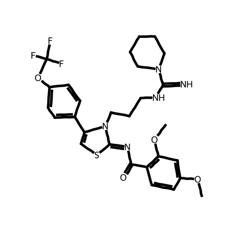 COc1ccc(C(=O)/N=c2\scc(-c3ccc(OC(F)(F)F)cc3)n2CCCNC(=N)N2CCCCC2)c(OC)c1